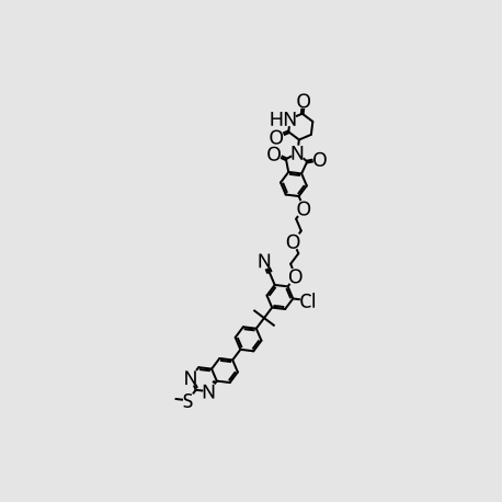 CSc1ncc2cc(-c3ccc(C(C)(C)c4cc(Cl)c(OCCOCCOc5ccc6c(c5)C(=O)N(C5CCC(=O)NC5=O)C6=O)c(C#N)c4)cc3)ccc2n1